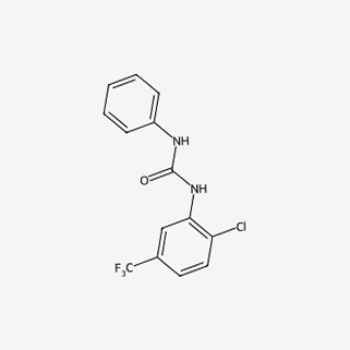 O=C(Nc1ccccc1)Nc1cc(C(F)(F)F)ccc1Cl